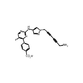 NCC#CC#CCn1cc(Nc2ncc(F)c(-c3ccc(C(=O)O)cc3)n2)cn1